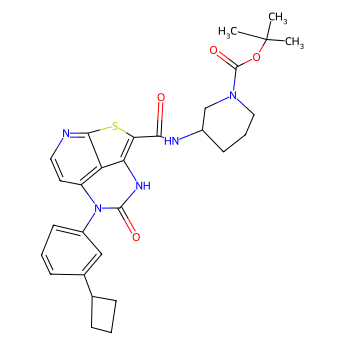 CC(C)(C)OC(=O)N1CCCC(NC(=O)c2sc3nccc4c3c2NC(=O)N4c2cccc(C3CCC3)c2)C1